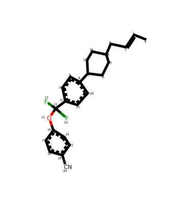 C/C=C/CC1CCC(c2ccc(C(F)(F)Oc3ccc(C#N)cc3)cc2)CC1